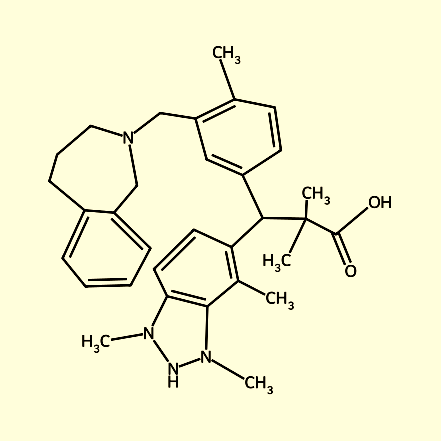 Cc1ccc(C(c2ccc3c(c2C)N(C)NN3C)C(C)(C)C(=O)O)cc1CN1CCCc2ccccc2C1